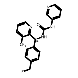 O=C(Nc1cccnc1)N[C@@H](c1ccc(CF)cc1)c1ncccc1C(F)(F)F